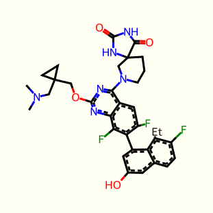 CCc1c(F)ccc2cc(O)cc(-c3c(F)cc4c(N5CCCC6(C5)NC(=O)NC6=O)nc(OCC5(CN(C)C)CC5)nc4c3F)c12